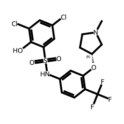 CN1CC[C@@H](Oc2cc(NS(=O)(=O)c3cc(Cl)cc(Cl)c3O)ccc2C(F)(F)F)C1